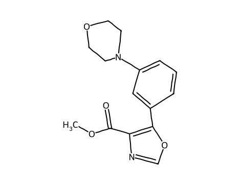 COC(=O)c1ncoc1-c1cccc(N2CCOCC2)c1